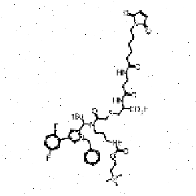 CC(C)(C)C(c1cc(-c2cc(F)ccc2F)cn1Cc1ccccc1)N(CCCNC(=O)OCC[Si](C)(C)C)C(=O)CSCC(NC(=O)CCNC(=O)CCCCCN1C(=O)C=CC1=O)C(=O)O